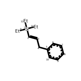 CC[Si](C=CCc1ccccc1)(CC)CC